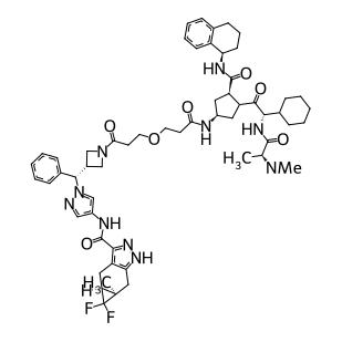 CN[C@@H](C)C(=O)N[C@H](C(=O)C1C[C@@H](NC(=O)CCOCCC(=O)N2CC([C@@H](c3ccccc3)n3cc(NC(=O)c4n[nH]c5c4C[C@@H]4C(F)(F)[C@]4(C)C5)cn3)C2)C[C@H]1C(=O)N[C@@H]1CCCc2ccccc21)C1CCCCC1